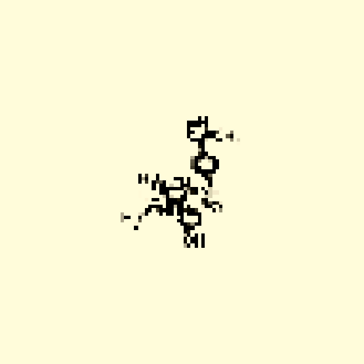 CCN[C@H](C(=O)N1C[C@H](O)C[C@H]1C(=O)NCc1ccc(-c2scnc2C)cc1)C(C)(C)C